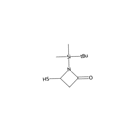 CC(C)(C)[Si](C)(C)N1C(=O)CC1S